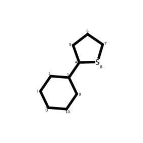 [CH]1CCC(C2CCCS2)CC1